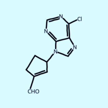 O=CC1=CC(n2cnc3c(Cl)ncnc32)CC1